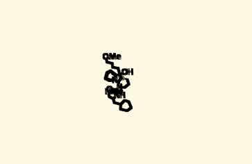 CNCC(CC1CCCCC1)NC(=O)N1CCC[C@@H]([C@@](O)(CCCCOC)c2ccccn2)C1